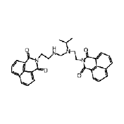 CC(C)N(CCN1C(=O)c2cccc3cccc(c23)C1=O)CNCCN1C(=O)c2cccc3cccc(c23)C1=O